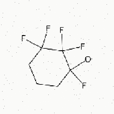 [O]C1(F)CCCC(F)(F)C1(F)F